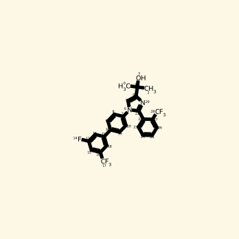 CC(C)(O)c1cn(-c2ccc(-c3cc(F)cc(C(F)(F)F)c3)cc2)c(-c2ccccc2C(F)(F)F)n1